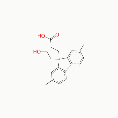 Cc1ccc2c(c1)C(CCO)(CCC(=O)O)c1cc(C)ccc1-2